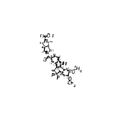 COc1ccc(-c2[nH]c3ccc(C(=O)N4CC5CN(C(=O)O)CC5C4)cc3c2CC(F)(F)F)cc1OC